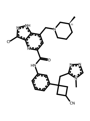 C[C@H]1CCCN(Cc2cc(C(=O)Nc3cccc(C4(Cc5nncn5C)CC(C#N)C4)c3)nc3c(Cl)n[nH]c23)C1